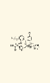 COc1cccc([C@H]2O[C@H](Cc3ncc(CC(=O)O)s3)C(=O)N(CC(C)(C)C)c3ccc(Cl)cc32)c1OC